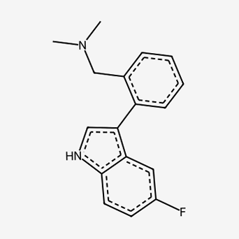 CN(C)Cc1ccccc1-c1c[nH]c2ccc(F)cc12